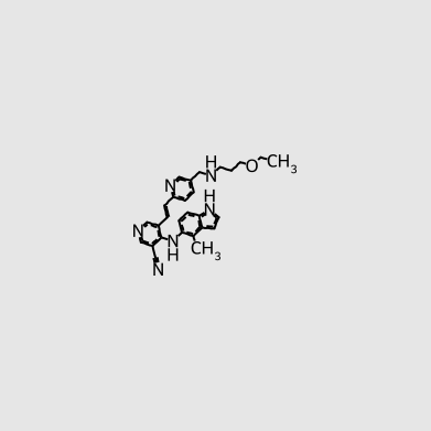 CCOCCCNCc1ccc(C=Cc2cncc(C#N)c2Nc2ccc3[nH]ccc3c2C)nc1